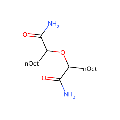 CCCCCCCCC(OC(CCCCCCCC)C(N)=O)C(N)=O